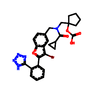 O=C(O)OC1(CN(Cc2ccc3oc(-c4ccccc4-c4nnn[nH]4)c(Br)c3c2)C(=O)C2CC2)CCCC1